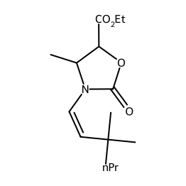 CCCC(C)(C)/C=C\N1C(=O)OC(C(=O)OCC)C1C